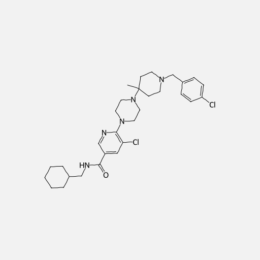 CC1(N2CCN(c3ncc(C(=O)NCC4CCCCC4)cc3Cl)CC2)CCN(Cc2ccc(Cl)cc2)CC1